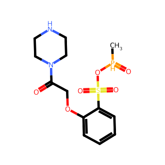 C[PH](=O)OS(=O)(=O)c1ccccc1OCC(=O)N1CCNCC1